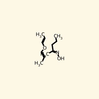 CC=COC=CC.CCCC(C)=NO